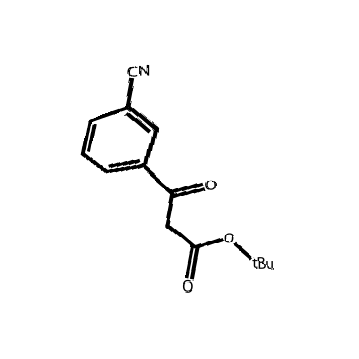 CC(C)(C)OC(=O)CC(=O)c1cccc(C#N)c1